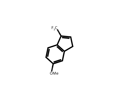 COc1ccc2c(c1)CC=C2C(F)(F)F